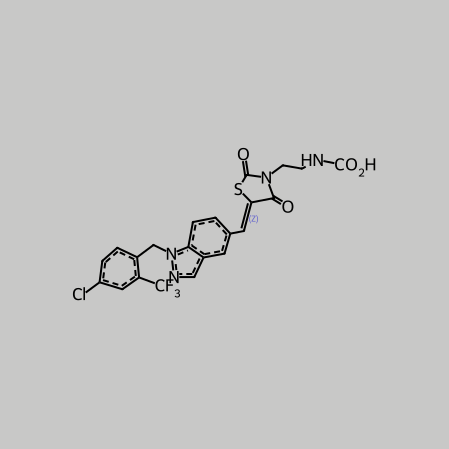 O=C(O)NCCN1C(=O)S/C(=C\c2ccc3c(cnn3Cc3ccc(Cl)cc3C(F)(F)F)c2)C1=O